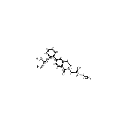 CCOC(=O)CN1CCc2cc(-c3cccnc3SC(C)C)ccc2C1=O